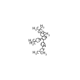 Cc1ncc(-c2ccc(C(F)CC(C)C)nc2)c(N2CCC(C)(C)CC2)c1CC(=O)OC(C)C